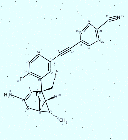 C[C@H]1[C@@H]2[C@@]1(CF)SC(N)=N[C@]2(CF)c1cc(C#Cc2cnc(C#N)cn2)ccc1F